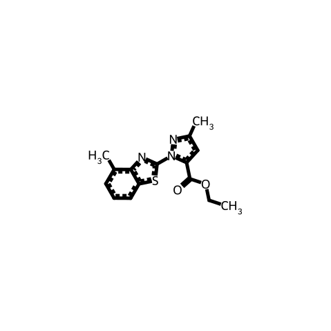 CCOC(=O)c1cc(C)nn1-c1nc2c(C)cccc2s1